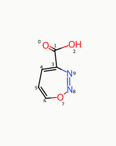 O=C(O)C1=CC=CON=N1